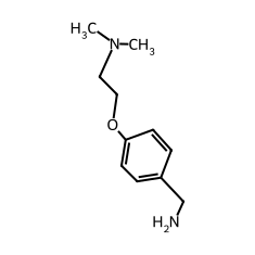 CN(C)CCOc1ccc(CN)cc1